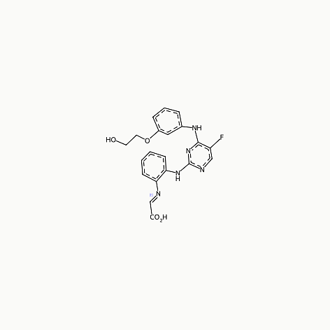 O=C(O)/C=N/c1ccccc1Nc1ncc(F)c(Nc2cccc(OCCO)c2)n1